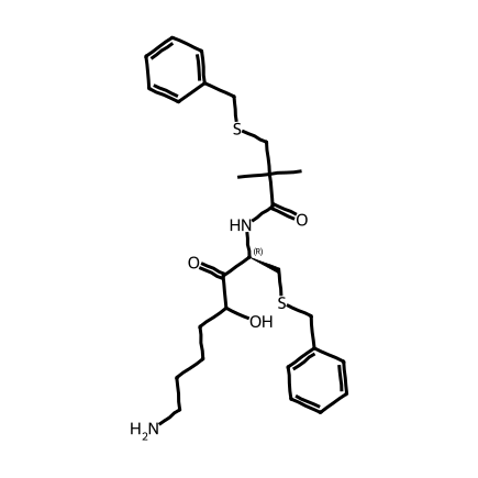 CC(C)(CSCc1ccccc1)C(=O)N[C@@H](CSCc1ccccc1)C(=O)C(O)CCCCN